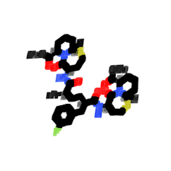 CCC[C@@H](CC[C@H](Cc1cccc(F)c1)C(=O)N[C@H]1CCS[C@H]2CCC[C@@H](C(=O)OC)N2C1=O)C(=O)N[C@H]1CCS[C@H]2CCC[C@@H](C(=O)OC)N2C1=O